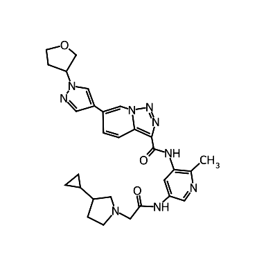 Cc1ncc(NC(=O)CN2CCC(C3CC3)C2)cc1NC(=O)c1nnn2cc(-c3cnn(C4CCOC4)c3)ccc12